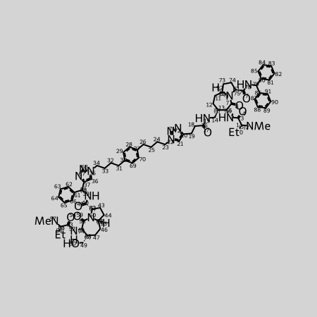 CC[C@H](NC)C(=O)N[C@@H]1C(=O)N2[C@@H](CC[C@@H]1CNC(=O)CCc1cn(CCCCc3ccc(CCCCn4cc([C@@H](NC(=O)[C@@H]5CC[C@@H]6CC[C@H](CO)[C@H](NC(=O)[C@H](CC)NC)C(=O)N65)c5ccccc5)nn4)cc3)nn1)CC[C@H]2C(=O)NC(c1ccccc1)c1ccccc1